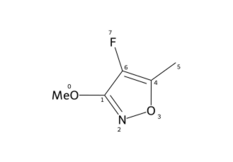 [CH2]Oc1noc(C)c1F